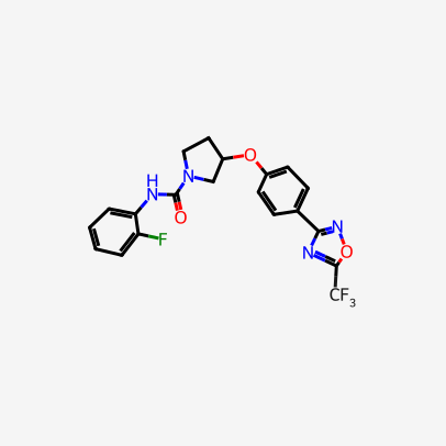 O=C(Nc1ccccc1F)N1CCC(Oc2ccc(-c3noc(C(F)(F)F)n3)cc2)C1